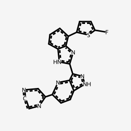 Fc1ccc(-c2cccc3[nH]c(-c4n[nH]c5ccc(-c6cnccn6)nc45)nc23)s1